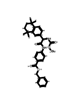 CC(C)(C)OC(=O)NC(C(=O)Nc1ccc(C(=O)OCc2ccccc2)cc1)c1ccc2c(c1)C(C)(C)CCC2(C)C